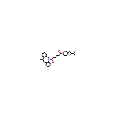 C/C1=C/c2ccccc2N(C(=O)CCCCC(=O)N2CCC3(CC2)CC(C(C)C)C3)Cc2ccccc21